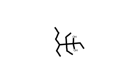 CCCC(CC)C(CC)(CC)C(O)(O)CC